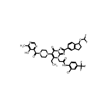 CCc1c(N2CCN(C(=O)c3ncnc(C)c3O)CC2)c(=O)n2nc(-c3ccc4c(c3)CCC4OC(F)F)nc2n1CC(=O)Nc1ccc(C(F)(F)F)cc1Cl